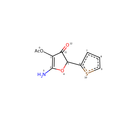 CC(=O)OC1=C(N)OC(c2cccs2)C1=O